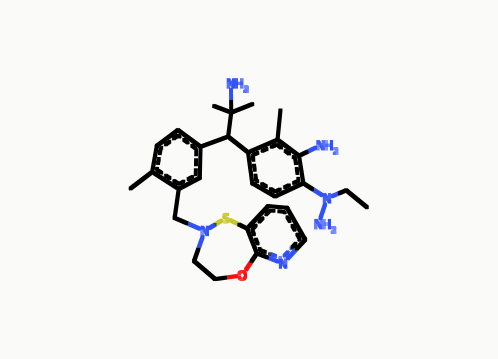 CCN(N)c1ccc(C(c2ccc(C)c(CN3CCOc4ncccc4S3)c2)C(C)(C)N)c(C)c1N